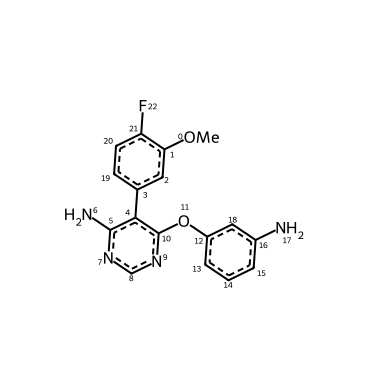 COc1cc(-c2c(N)ncnc2Oc2cccc(N)c2)ccc1F